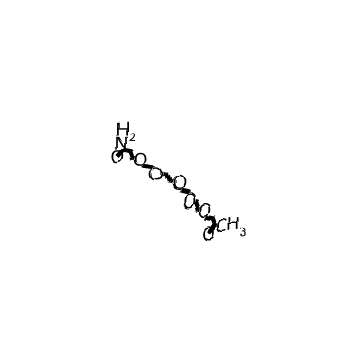 CC(=O)CCOCCOCCOCCOCCOCCC(N)=O